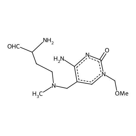 COCn1cc(CN(C)CCC(N)C=O)c(N)nc1=O